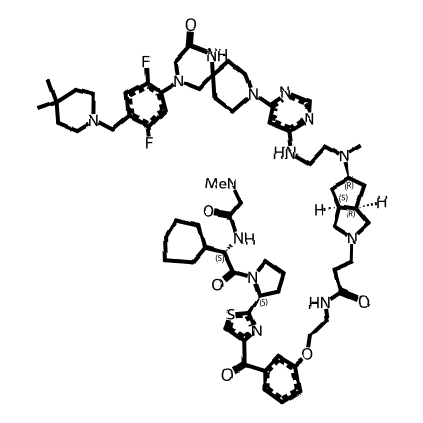 CNCC(=O)N[C@H](C(=O)N1CCC[C@H]1c1nc(C(=O)c2cccc(OCCNC(=O)CCN3C[C@H]4C[C@@H](N(C)CCNc5cc(N6CCC7(CC6)CN(c6cc(F)c(CN8CCC(C)(C)CC8)cc6F)CC(=O)N7)ncn5)C[C@H]4C3)c2)cs1)C1CCCCC1